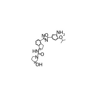 CC(C)Oc1ccc(-c2nc(-c3cccc4c3CC[C@@H]4NC(=O)N3CCC[C@@H](O)C3)no2)cc1N